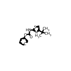 CC(C)(C)c1csc(NC(=O)Oc2ccccc2)n1